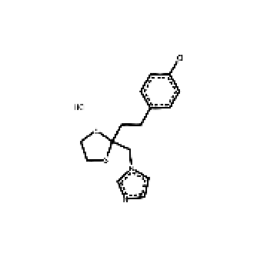 Cl.Clc1ccc(CCC2(Cn3ccnc3)SCCS2)cc1